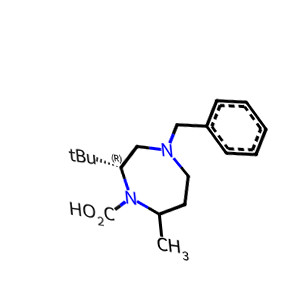 CC1CCN(Cc2ccccc2)C[C@@H](C(C)(C)C)N1C(=O)O